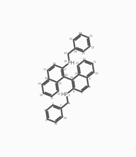 c1ccc(CPc2ccc3ccccc3c2-c2c(PCc3ccccc3)ccc3ccccc23)cc1